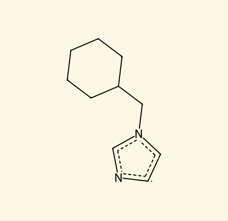 [c]1cn(CC2CCCCC2)cn1